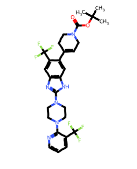 CC(C)(C)OC(=O)N1CC=C(c2cc3[nH]c(N4CCN(c5ncccc5C(F)(F)F)CC4)nc3cc2C(F)(F)F)CC1